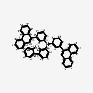 C1=C(c2cc3ccccc3c3ccccc23)C=C(N(c2cccc(-c3cc4ccccc4c4ccccc34)c2)c2cccc3c2oc2ccccc23)CC1